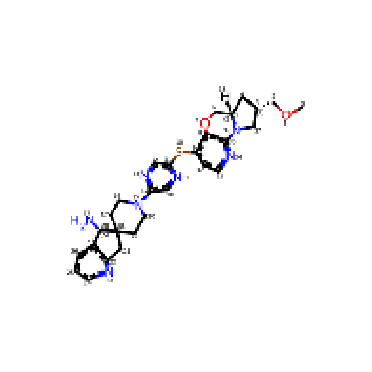 COC[C@H]1C[C@H]2COc3c(Sc4cnc(N5CCC6(CC5)Cc5ncccc5[C@H]6N)cn4)ccnc3N2C1